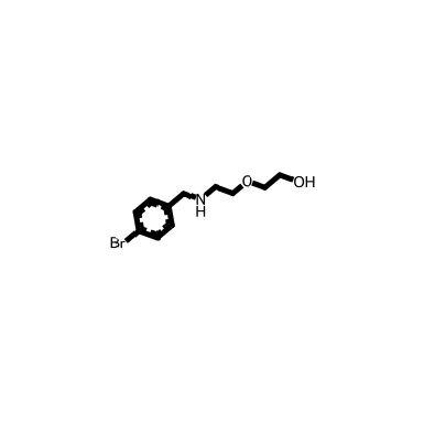 OCCOCCNCc1ccc(Br)cc1